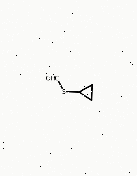 O=[C]SC1CC1